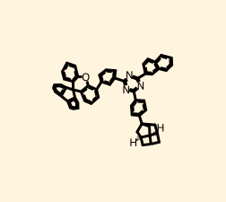 c1cc(-c2nc(-c3ccc(C45C[C@@H]6CC7C[C@@H](C4)C76C5)cc3)nc(-c3ccc4ccccc4c3)n2)cc(-c2cccc3c2Oc2ccccc2C32c3ccccc3-c3ccccc32)c1